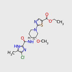 CCOC(=O)c1cnc(N2CC[C@@H](NC(=O)c3nc(Cl)c(C)[nH]3)[C@@H](OC)C2)s1